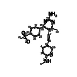 CNc1ccc(C#Cc2c(C)nc(N)nc2-c2ccc(S(C)(=O)=O)cc2)cn1